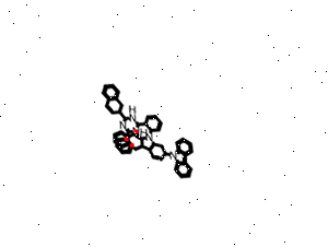 C1=CC(C2NC(c3ccccc3)=NC(C3C=Cc4ccccc4C3)N2)C(N2C3=Cc4ccccc4CC3C3C=CC(n4c5ccccc5c5ccccc54)CC32)C=C1